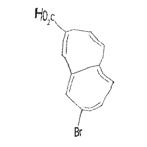 O=C(O)c1ccc2ccc(Br)cc2c1